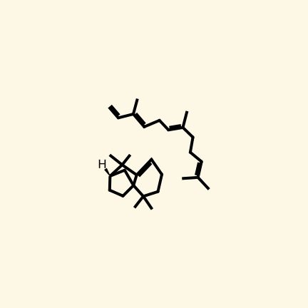 C=C/C(C)=C/C/C=C(\C)CCC=C(C)C.CC1(C)C2=CCCC(C)(C)C23CC[C@H]1C3